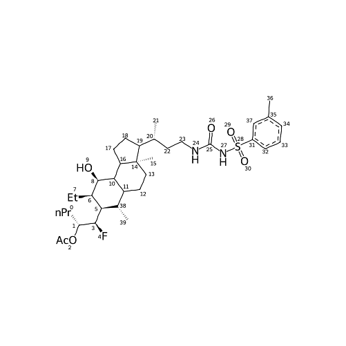 CCC[C@@H](OC(C)=O)[C@H](F)[C@H]1[C@@H](CC)[C@@H](O)C2C(CC[C@@]3(C)C2CCC3[C@H](C)CCNC(=O)NS(=O)(=O)c2cccc(C)c2)[C@@H]1C